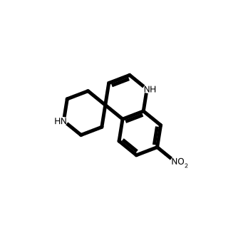 O=[N+]([O-])c1ccc2c(c1)NC=CC21CCNCC1